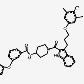 Cc1cc(OCCCc2c(C(=O)N3CCC(NC(=O)c4cccc(Oc5ccccc5)c4)CC3)[nH]c3ccccc23)cc(C)c1Cl